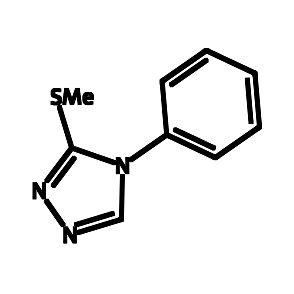 CSc1nncn1-c1ccccc1